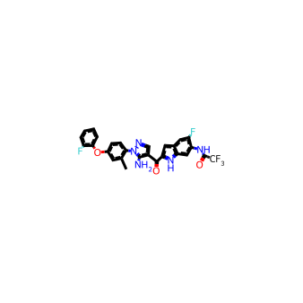 Cc1cc(Oc2ccccc2F)ccc1-n1ncc(C(=O)c2cc3cc(F)c(NC(=O)C(F)(F)F)cc3[nH]2)c1N